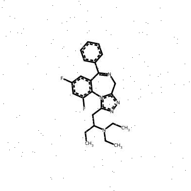 CCC(Cc1nnc2n1-c1c(F)cc(F)cc1C(c1ccccc1)=NC2)N(CC)CC